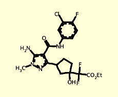 CCOC(=O)C(F)(F)C1(O)CCC(c2nn(C)c(N)c2C(=O)Nc2ccc(F)c(Cl)c2)C1